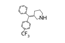 FC(F)(F)c1ccc(/C(=C2/CCCNC2)c2ccccc2)cc1